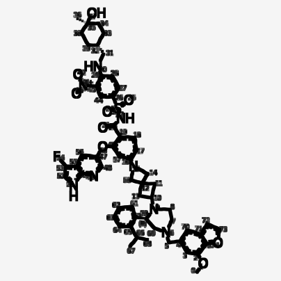 COc1cc(CN2CCN(C3CC4(C3)CN(c3ccc(C(=O)NS(=O)(=O)c5ccc(NC[C@H]6CC[C@](C)(O)CC6)c([N+](=O)[O-])c5)c(Oc5cnc6[nH]cc(F)c6c5)c3)C4)[C@H](c3ccccc3C(C)C)C2)cc2ccoc12